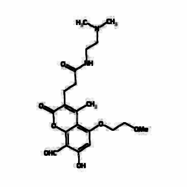 COCCOc1cc(O)c(C=O)c2oc(=O)c(CCC(=O)NCCN(C)C)c(C)c12